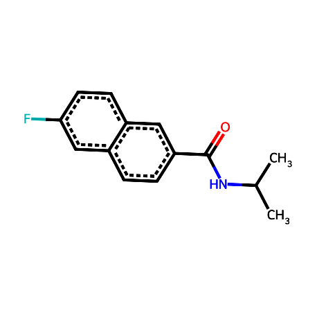 CC(C)NC(=O)c1ccc2cc(F)ccc2c1